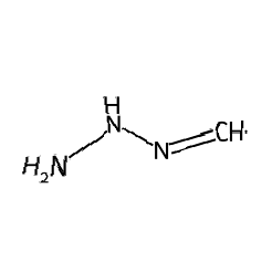 [CH]=NNN